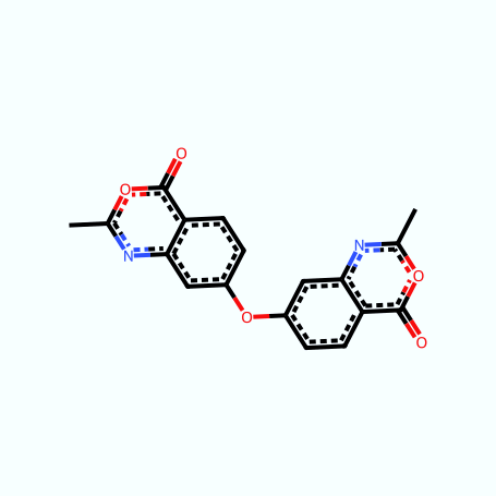 Cc1nc2cc(Oc3ccc4c(=O)oc(C)nc4c3)ccc2c(=O)o1